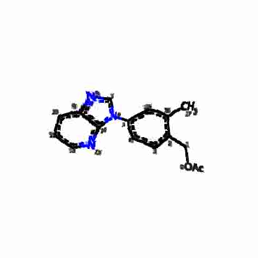 CC(=O)OCc1ccc(-n2cnc3cccnc32)cc1C